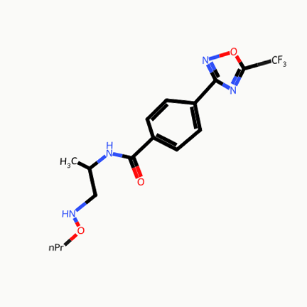 CCCONCC(C)NC(=O)c1ccc(-c2noc(C(F)(F)F)n2)cc1